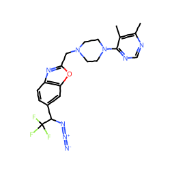 Cc1ncnc(N2CCN(Cc3nc4ccc(C(N=[N+]=[N-])C(F)(F)F)cc4o3)CC2)c1C